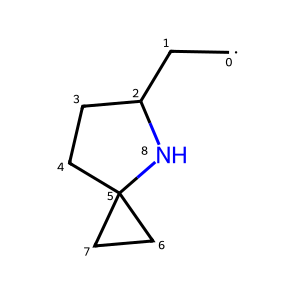 [CH2]CC1CCC2(CC2)N1